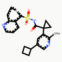 COc1ncc(C2CCC2)cc1C1(C(=O)NS(=O)(=O)c2cccc3ncccc23)CC1